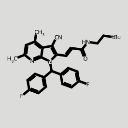 Cc1cc(C)c2c(C#N)c(/C=C/C(=O)NCCC(C)(C)C)n(C(c3ccc(F)cc3)c3ccc(F)cc3)c2n1